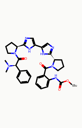 CN(C)[C@@H](C(=O)N1CCC[C@H]1c1ncc(-c2cnc([C@@H]3CCCN3C(=O)c3ccccc3NC(=O)OC(C)(C)C)[nH]2)[nH]1)c1ccccc1